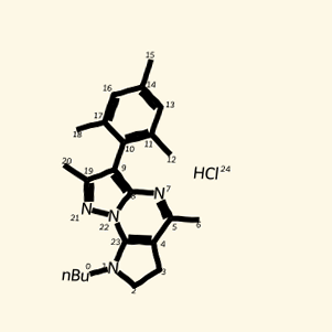 CCCCN1CCc2c(C)nc3c(-c4c(C)cc(C)cc4C)c(C)nn3c21.Cl